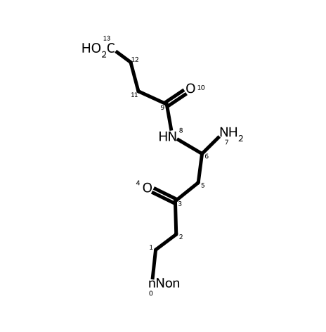 CCCCCCCCCCCC(=O)CC(N)NC(=O)CCC(=O)O